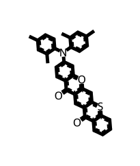 Cc1ccc(N(c2ccc3c(=O)c4cc5c(=O)c6ccccc6sc5cc4oc3c2)c2ccc(C)cc2C)c(C)c1